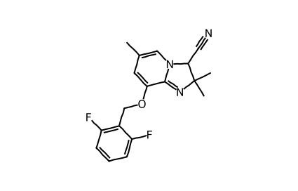 CC1=CN2C(=NC(C)(C)C2C#N)C(OCc2c(F)cccc2F)=C1